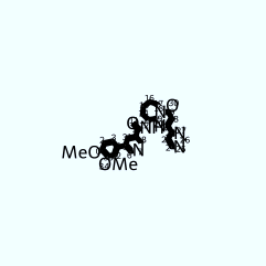 COc1ccc(-c2cncc(C(=O)NC3CCCCn4c3nc(-c3ccncn3)cc4=O)c2)cc1OC